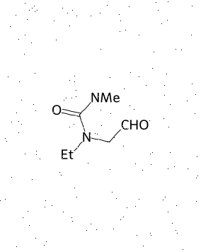 CCN(CC=O)C(=O)NC